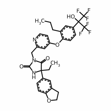 CCCc1cc(C(O)(C(F)(F)F)C(F)(F)F)ccc1Oc1ccnc(CN2C(=O)NC(CC)(c3ccc4c(c3)CCO4)C2=O)c1